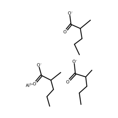 CCCC(C)C(=O)[O-].CCCC(C)C(=O)[O-].CCCC(C)C(=O)[O-].[Al+3]